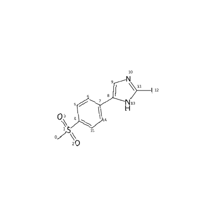 CS(=O)(=O)c1ccc(-c2cnc(I)[nH]2)cc1